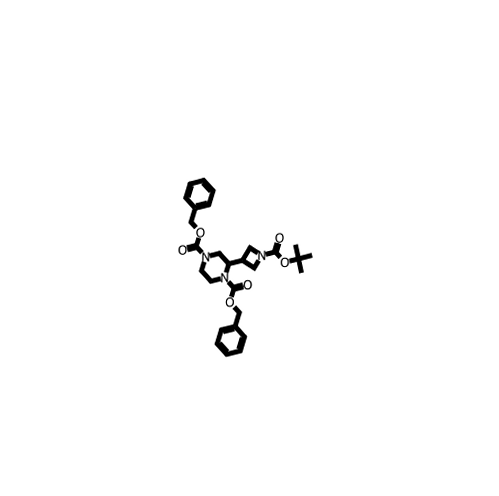 CC(C)(C)OC(=O)N1CC(C2CN(C(=O)OCc3ccccc3)CCN2C(=O)OCc2ccccc2)C1